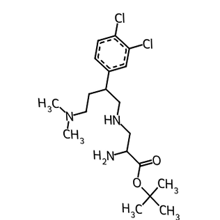 CN(C)CCC(CNCC(N)C(=O)OC(C)(C)C)c1ccc(Cl)c(Cl)c1